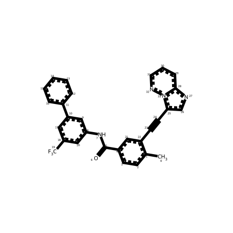 Cc1ccc(C(=O)Nc2cc(-c3ccccc3)cc(C(F)(F)F)c2)cc1C#Cc1cnc2cccnn12